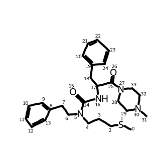 CSCCCN(CCc1ccccc1)C(=O)NC(Cc1ccccc1)C(=O)N1CCN(C)CC1